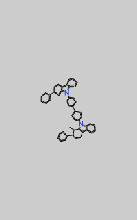 CC1c2c(c3ccccc3n2-c2ccc(-c3ccc(-n4c5ccccc5c5ccc(-c6ccccc6)cc54)cc3)cc2)C=CC1c1ccccc1